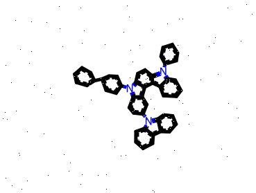 c1ccc(-c2ccc(-n3c4ccc(-n5c6ccccc6c6ccccc65)cc4c4c5c6ccccc6n(-c6ccccc6)c5ccc43)cc2)cc1